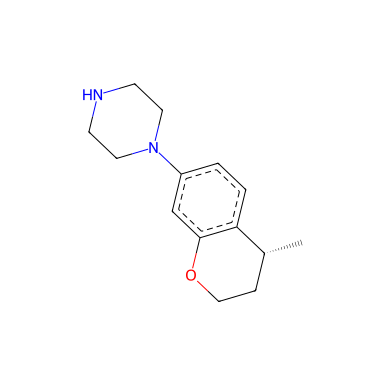 C[C@@H]1CCOc2cc(N3CCNCC3)ccc21